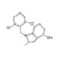 Cc1cc2c(O)cccc2n1Cc1c(Cl)cccc1Cl